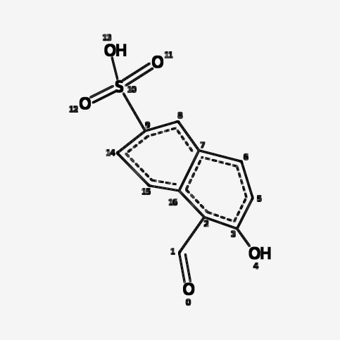 O=Cc1c(O)ccc2cc(S(=O)(=O)O)ccc12